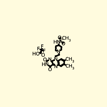 Cc1cc2nc3c(=O)[nH]c(=O)nc-3n(CCN3CCC(NS(C)(=O)=O)CC3)c2cc1C.O=C(O)C(F)(F)F